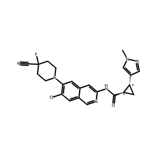 Cn1cc([C@@H]2C[C@H]2C(=O)Nc2cc3cc(N4CCC(F)(C#N)CC4)c(Cl)cc3cn2)cn1